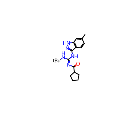 Cc1ccc2c(N/C(=N\C(=O)C3CCCC3)NC(C)(C)C)n[nH]c2c1